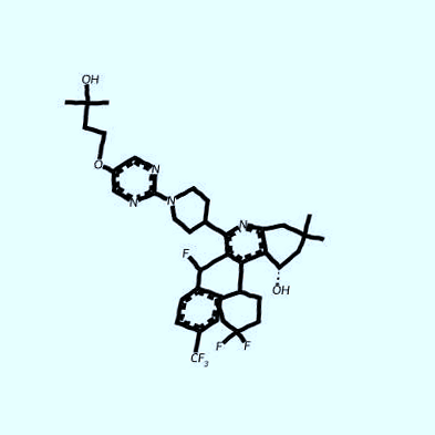 CC(C)(O)CCOc1cnc(N2CCC(c3nc4c(c(C5CCC(F)(F)CC5)c3C(F)c3ccc(C(F)(F)F)cc3)[C@@H](O)CC(C)(C)C4)CC2)nc1